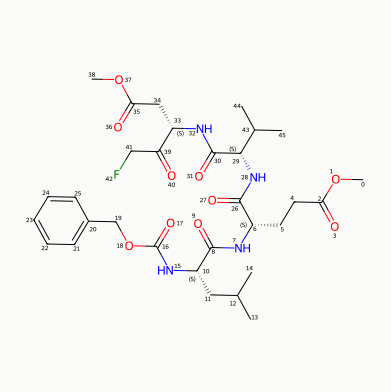 COC(=O)CC[C@H](NC(=O)[C@H](CC(C)C)NC(=O)OCc1ccccc1)C(=O)N[C@H](C(=O)N[C@@H](CC(=O)OC)C(=O)CF)C(C)C